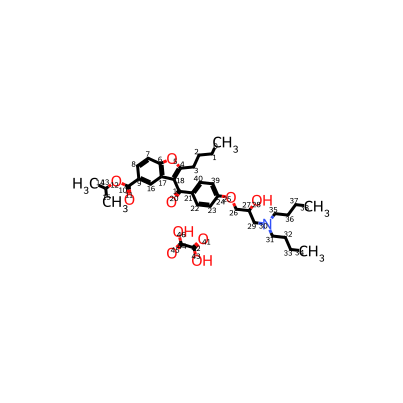 CCCCc1oc2ccc(C(=O)OC(C)C)cc2c1C(=O)c1ccc(OCC(O)CN(CCCC)CCCC)cc1.O=C(O)C(=O)O